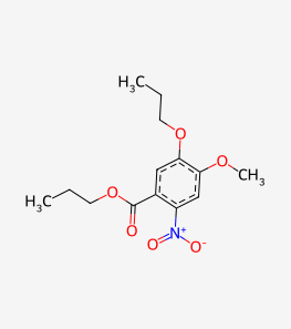 CCCOC(=O)c1cc(OCCC)c(OC)cc1[N+](=O)[O-]